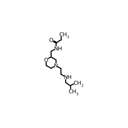 CCC(=O)NCC1CN(CCNCC(C)C)CCO1